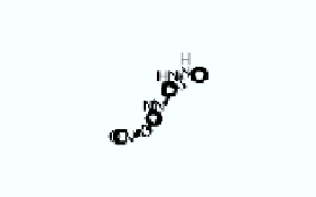 c1cc2c(cc1Cn1cnc3cc(OCCN4CCOCC4)ccc31)SC(NC1CCCCC1)N2